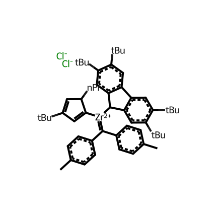 CCCC1C=C(C(C)(C)C)C=[C]1[Zr+2](=[C](c1ccc(C)cc1)c1ccc(C)cc1)[CH]1c2cc(C(C)(C)C)c(C(C)(C)C)cc2-c2cc(C(C)(C)C)c(C(C)(C)C)cc21.[Cl-].[Cl-]